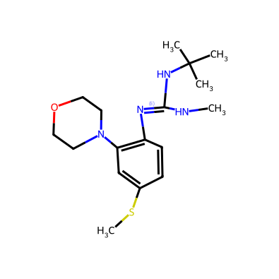 CN/C(=N\c1ccc(SC)cc1N1CCOCC1)NC(C)(C)C